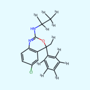 [2H]CC1(c2c([2H])c([2H])c([2H])c([2H])c2[2H])OC(NC([2H])([2H])C([2H])([2H])[2H])=Nc2ccc(Cl)cc21